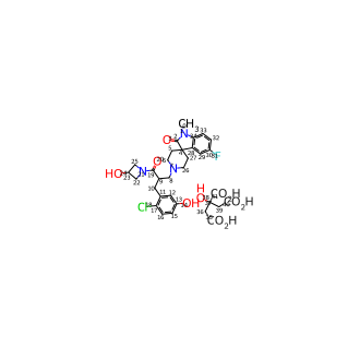 CN1C(=O)C2(CCN(CC(Cc3cc(O)ccc3Cl)C(=O)N3CC(O)C3)CC2)c2cc(F)ccc21.O=C(O)CC(O)(CC(=O)O)C(=O)O